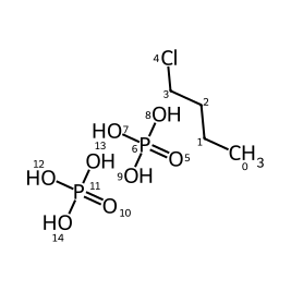 CCCCCl.O=P(O)(O)O.O=P(O)(O)O